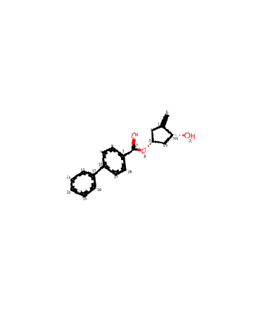 C=C1C[C@@H](OC(=O)c2ccc(-c3ccccc3)cc2)C[C@H]1O